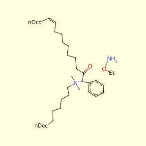 CCCCCCCC/C=C\CCCCCCCC(=O)C(c1ccccc1)[N+](C)(C)CCCCCCCCCCCCCCCC.CCON